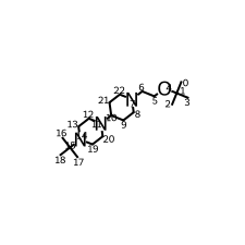 CC(C)(C)OCCN1CCC(N2CCN(C(C)(C)C)CC2)CC1